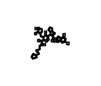 O=C(NCCOCC1CCCC1)C(=O)C(CC1CCNC1=O)NC(=O)C1C2CCCC2CN1C(=O)c1cc2c(Cl)cc(Cl)cc2[nH]1